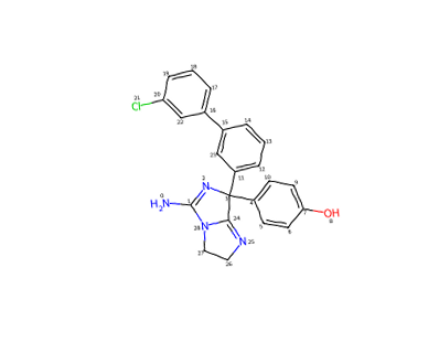 NC1=NC(c2ccc(O)cc2)(c2cccc(-c3cccc(Cl)c3)c2)C2=NCCN12